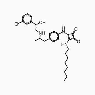 CCCCCCCCNc1c(Nc2ccc(CC(C)NC[C@H](O)c3cccc(Cl)c3)cc2)c(=O)c1=O